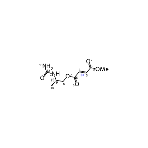 COC(=O)/C=C/C(=O)OC[C@@H](C)NC(N)=O